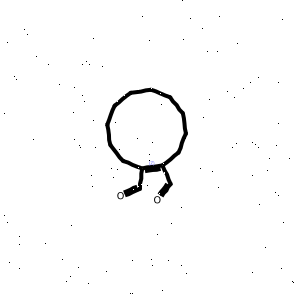 O=C/C1=C(\C=O)CCCCCCCCCC1